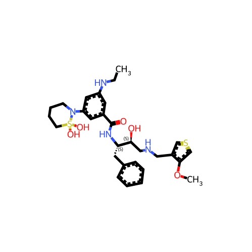 CCNc1cc(C(=O)N[C@@H](Cc2ccccc2)[C@@H](O)CNCc2cscc2OC)cc(N2CCCCS2(O)O)c1